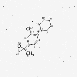 CC1(c2ccc(N3CCCCC3)c(Cl)c2)CO1